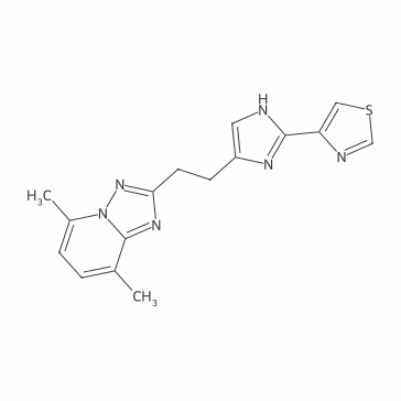 Cc1ccc(C)n2nc(CCc3c[nH]c(-c4cscn4)n3)nc12